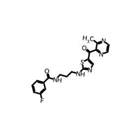 Cc1nccnc1C(=O)c1cnc(NCCCNC(=O)c2cccc(F)c2)s1